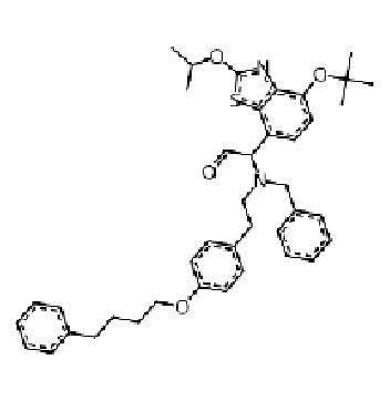 CC(C)Oc1nc2c(OC(C)(C)C)ccc(C(C=O)N(CCc3ccc(OCCCCc4ccccc4)cc3)Cc3ccccc3)c2s1